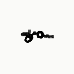 CCCCCc1ccc(OC2CC3CCC([C]=O)(C3)N2)cc1